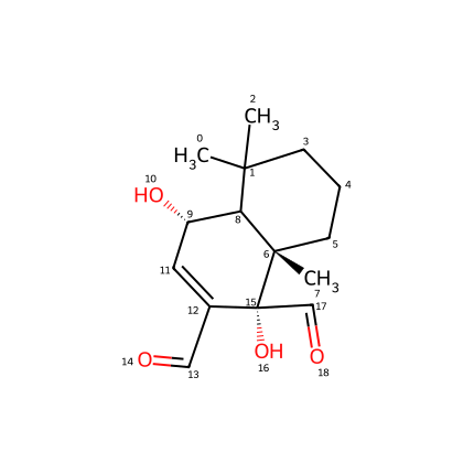 CC1(C)CCC[C@@]2(C)C1[C@@H](O)C=C(C=O)[C@]2(O)C=O